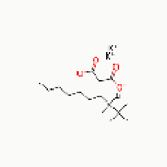 O=C([O-])CC(=O)[O-].[K+].[K+].[Li][C](C)(CCCCCCC)C(C)(C)C